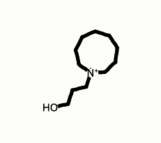 OCCC[N+]1CCCCCCCC1